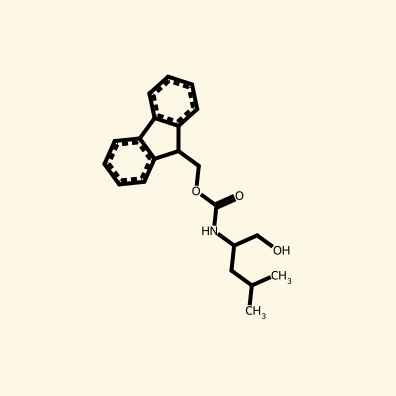 CC(C)CC(CO)NC(=O)OCC1c2ccccc2-c2ccccc21